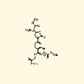 COC(=O)CS/C(=N/NC(=O)OC(C)(C)C)c1ccc(N2CC([C@H](N)C(=O)OC(C)(C)C)OC2=O)cc1F